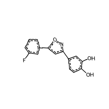 Oc1ccc(-c2cc(-c3cccc(F)c3)on2)cc1O